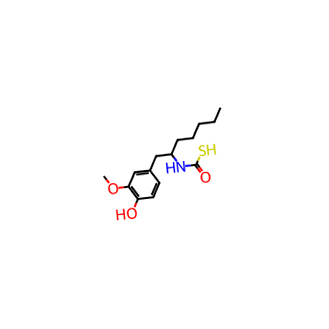 CCCCCC(Cc1ccc(O)c(OC)c1)NC(=O)S